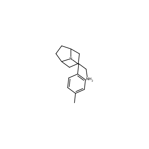 Cc1ccc(CN2C3CCC2CC(CN)C3)cc1